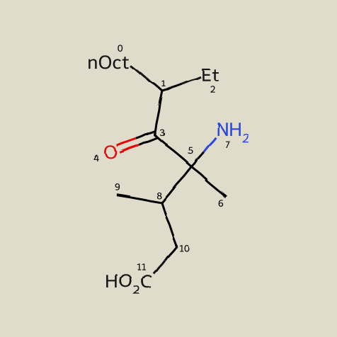 CCCCCCCCC(CC)C(=O)C(C)(N)C(C)CC(=O)O